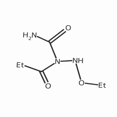 CCONN(C(N)=O)C(=O)CC